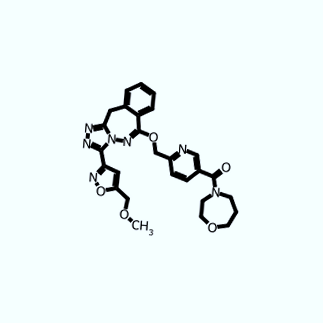 COCc1cc(-c2nnc3n2N=C(OCc2ccc(C(=O)N4CCCOCC4)cn2)c2ccccc2C3)no1